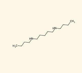 CCCCNCCCCCNCCCC